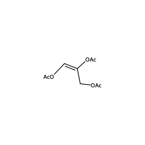 CC(=O)OC=C(COC(C)=O)OC(C)=O